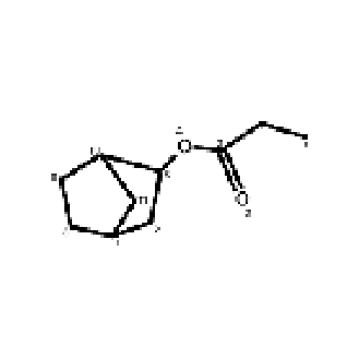 C[CH]C(=O)OC1CC2CCC1C2